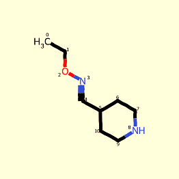 CCON=CC1CCNCC1